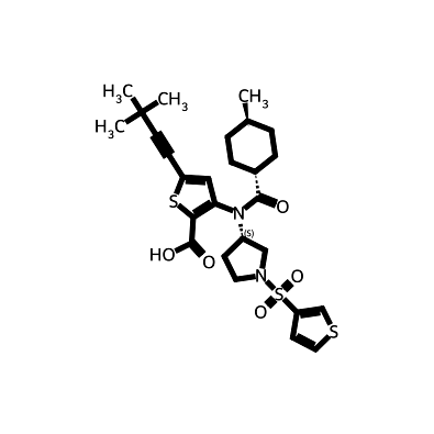 CC(C)(C)C#Cc1cc(N(C(=O)[C@H]2CC[C@H](C)CC2)[C@H]2CCN(S(=O)(=O)c3ccsc3)C2)c(C(=O)O)s1